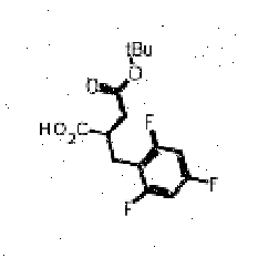 CC(C)(C)OC(=O)C[C@@H](Cc1c(F)cc(F)cc1F)C(=O)O